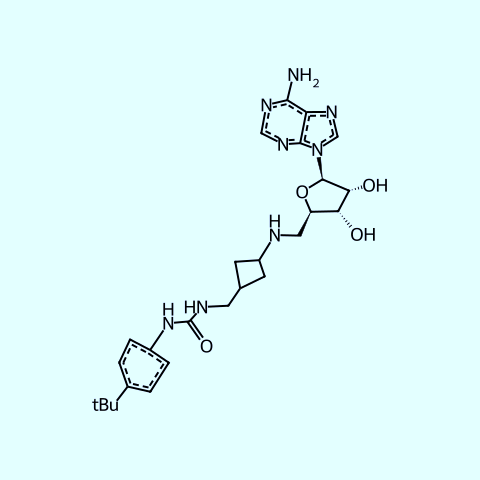 CC(C)(C)c1ccc(NC(=O)NCC2CC(NC[C@H]3O[C@@H](n4cnc5c(N)ncnc54)[C@H](O)[C@@H]3O)C2)cc1